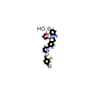 O=C(O)c1ccc2nc(Cc3ccc(-c4cccc(OCc5ccc(Cl)cc5F)n4)cc3)n(C[C@H]3CCCO3)c2c1